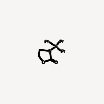 CC(C)[Si](C(C)C)(C(C)C)N1CCOC1=O